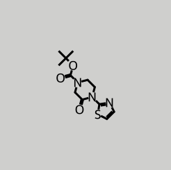 CC(C)(C)OC(=O)N1CCN(c2nccs2)C(=O)C1